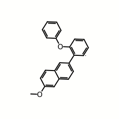 COc1ccc2cc(-c3[c]cccc3Oc3ccccc3)ccc2c1